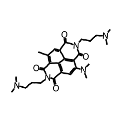 Cc1cc2c3c(c(N(C)C)cc4c3c1C(=O)N(CCCN(C)C)C4=O)C(=O)N(CCCN(C)C)C2=O